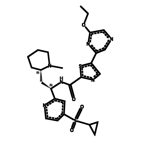 CCOc1cncc(-c2cnc(C(=O)N[C@@H](C[C@@H]3CCCCN3C)c3cc(S(=O)(=O)C4CC4)ccn3)s2)n1